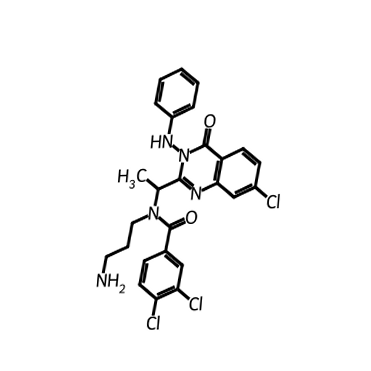 CC(c1nc2cc(Cl)ccc2c(=O)n1Nc1ccccc1)N(CCCN)C(=O)c1ccc(Cl)c(Cl)c1